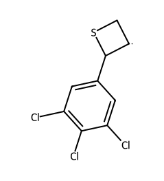 Clc1cc(C2[CH]CS2)cc(Cl)c1Cl